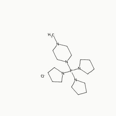 CN1CCN([P+](N2CCCC2)(N2CCCC2)N2CCCC2)CC1.[Cl-]